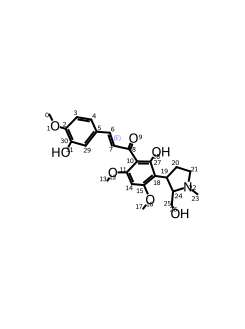 COc1ccc(/C=C/C(=O)c2c(OC)cc(OC)c(C3CCN(C)C3CO)c2O)cc1O